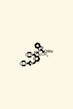 COC(C)c1nc2ccccc2n1-c1nc(N2CCOCC2)c2nc(CN3CC(N4CCOCC4)C3)ccc2n1